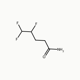 NC(=O)CCC(F)C(F)F